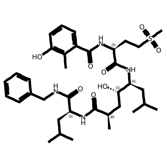 Cc1c(O)cccc1C(=O)N[C@@H](CCS(C)(=O)=O)C(=O)N[C@@H](CC(C)C)[C@@H](O)C[C@@H](C)C(=O)N[C@@H](CC(C)C)C(=O)NCc1ccccc1